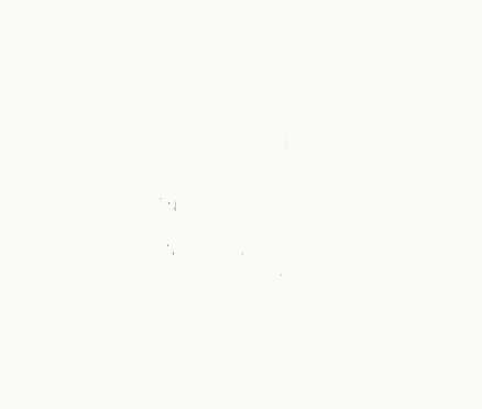 Clc1cccc2[c]nnc(Cl)c12